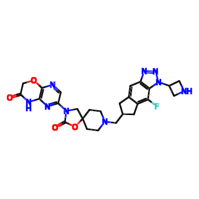 O=C1COc2ncc(N3CC4(CCN(CC5Cc6cc7nnn(C8CNC8)c7c(F)c6C5)CC4)OC3=O)nc2N1